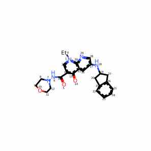 CCn1cc(C(=O)NN2CCOCC2)c(=O)c2cc(NC3Cc4ccccc4C3)cnc21